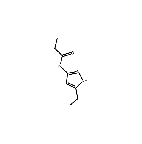 CCC(=O)Nc1cc(CC)[nH]n1